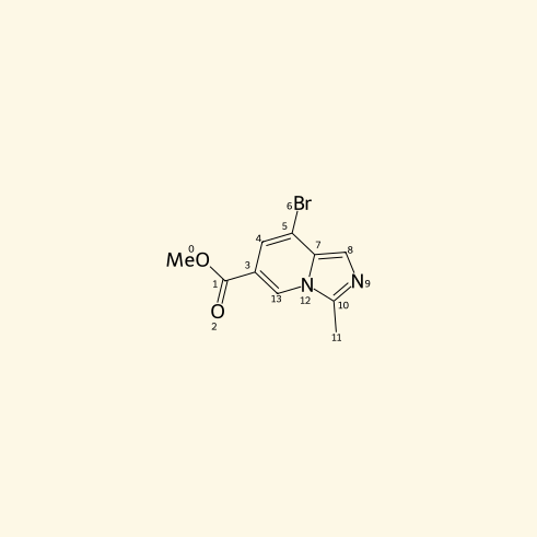 COC(=O)c1cc(Br)c2cnc(C)n2c1